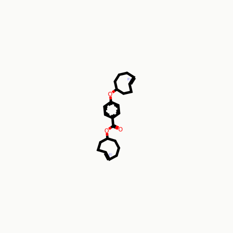 O=C(OC1CC/C=C/CCC1)c1ccc(OC2CC/C=C/CCC2)cc1